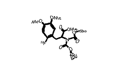 COC(=O)C(Cc1cc(OC)c(OC)cc1[18F])N(C(=O)OC(C)(C)C)C(=O)OC(C)(C)C